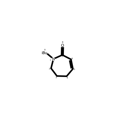 CCC(C)N1CCCC=CC1=O